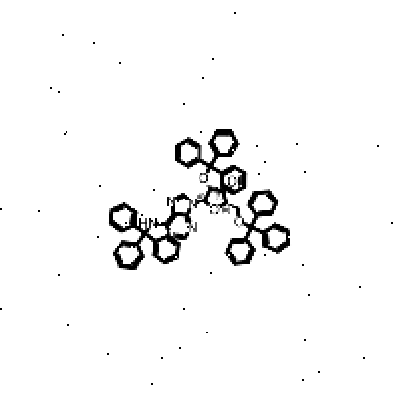 O[C@H]1[C@@H](OC(c2ccccc2)(c2ccccc2)c2ccccc2)[C@H](n2cnc3c(NC(c4ccccc4)(c4ccccc4)c4ccccc4)ncnc32)O[C@@H]1COC(c1ccccc1)(c1ccccc1)c1ccccc1